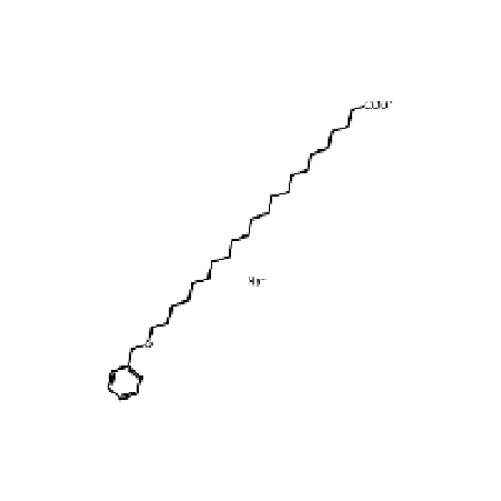 O=C([O-])CCCCCCCCCCCCCCCCCCCCCOCc1ccccc1.[Na+]